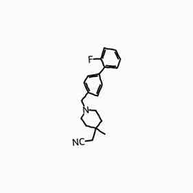 CC1(CC#N)CCN(Cc2ccc(-c3ccccc3F)cc2)CC1